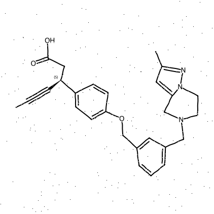 CC#C[C@@H](CC(=O)O)c1ccc(OCc2cccc(CN3CCn4nc(C)cc4C3)c2)cc1